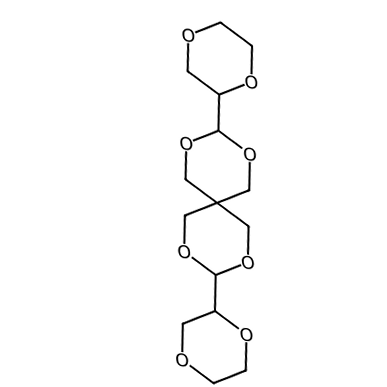 C1COC(C2OCC3(CO2)COC(C2COCCO2)OC3)CO1